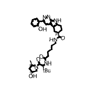 C[C@@H]1C[C@@H](O)CN1C(=O)[C@@H](NC(=O)CCCCCNC(=O)[C@@H]1CCc2[nH]c3nnc(-c4ccccc4O)cc3c2C1)C(C)(C)C